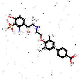 Cc1cc(-c2ccc(C(=O)O)cc2)cc(C)c1OCCN[C@@H](C)[C@H](O)c1ccc(O)c(S(C)(=O)=O)c1N